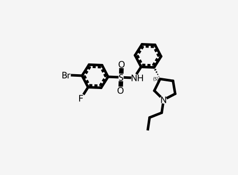 CCCN1CC[C@@H](c2ccccc2NS(=O)(=O)c2ccc(Br)c(F)c2)C1